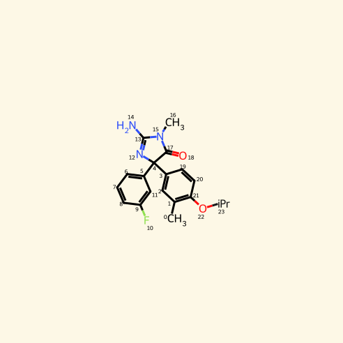 Cc1cc(C2(c3cccc(F)c3)N=C(N)N(C)C2=O)ccc1OC(C)C